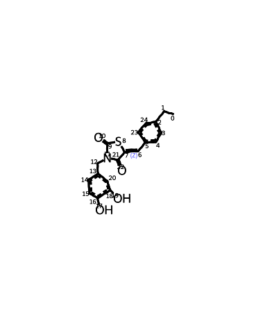 CCc1ccc(/C=C2\SC(=O)N(Cc3ccc(O)c(O)c3)C2=O)cc1